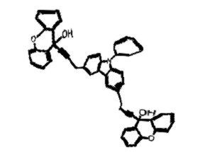 OC1(C#CCc2ccc3c(c2)c2cc(CC#CC4(O)c5ccccc5Oc5ccccc54)ccc2n3-c2ccccc2)c2ccccc2Oc2ccccc21